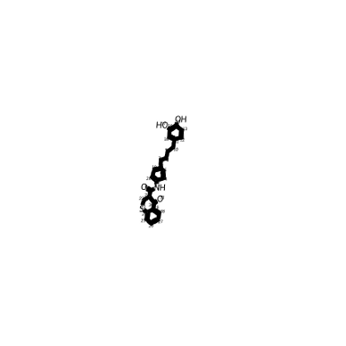 O=C(Nc1ccc(CCCCc2ccc(O)c(O)c2)cc1)C1CSc2ccccc2C1=O